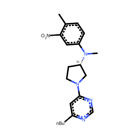 CCCCc1cc(N2CC[C@H](N(C)c3ccc(C)c([N+](=O)[O-])c3)C2)ncn1